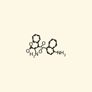 Nc1c(S(=O)(=O)c2ccc(N)c3ccccc23)c2ccccc2oc1=O